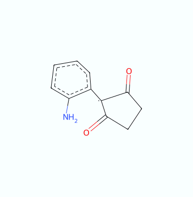 Nc1ccccc1[C]1C(=O)CCC1=O